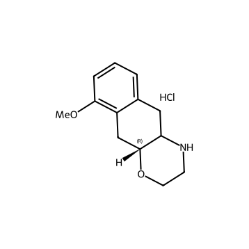 COc1cccc2c1C[C@H]1OCCNC1C2.Cl